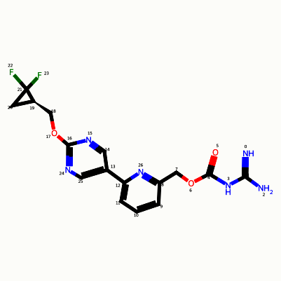 N=C(N)NC(=O)OCc1cccc(-c2cnc(OC[C@H]3CC3(F)F)nc2)n1